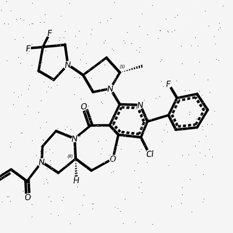 C=CC(=O)N1CCN2C(=O)c3c(N4CC(N5CCC(F)(F)C5)C[C@@H]4C)nc(-c4ccccc4F)c(Cl)c3OC[C@H]2C1